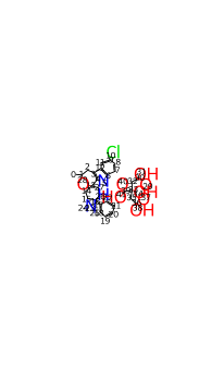 CC1Cc2c([nH]c3ccc(Cl)cc23)C2(CCC(c3ccccc3)(N(C)C)CC2)O1.O=C(O)CC(O)(CC(=O)O)C(=O)O